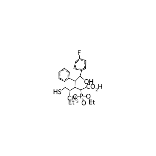 CCOP(=O)(OCC)C(C(=O)O)C(C(C)CS)C(c1ccccc1)C(O)c1ccc(F)cc1